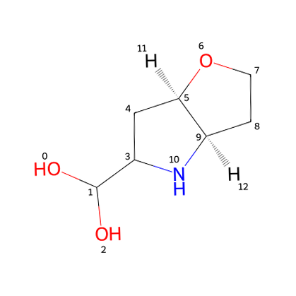 OC(O)C1C[C@H]2OCC[C@H]2N1